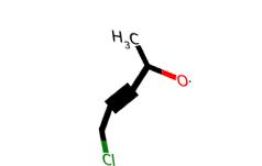 CC([O])C#CCCl